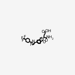 Cn1cc(-c2ccc3c(c2)CN(C(CCC(=O)O)C(N)=O)C3=O)nc1C1CCC(C(F)(F)F)CC1